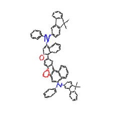 CC1(C)c2ccccc2-c2cc(N(c3ccccc3)c3cc4oc5cc6oc7cc(N(c8ccccc8)c8ccc9c(c8)-c8ccccc8C9(C)C)c8ccccc8c7c6cc5c4c4ccccc34)ccc21